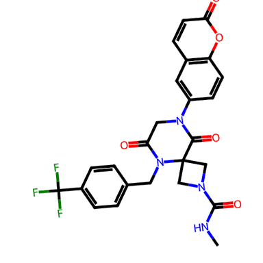 CNC(=O)N1CC2(C1)C(=O)N(c1ccc3oc(=O)ccc3c1)CC(=O)N2Cc1ccc(C(F)(F)F)cc1